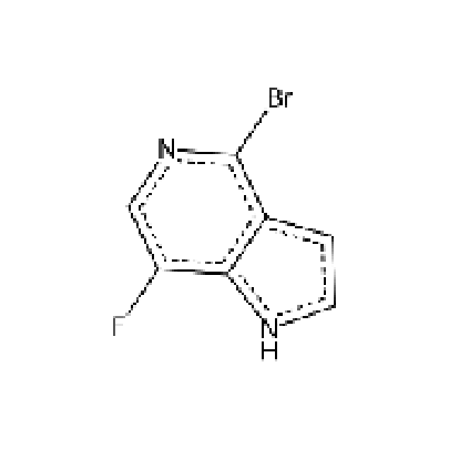 Fc1cnc(Br)c2cc[nH]c12